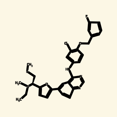 CCN(C)[C@@H](CSC)c1ccc(-c2ccc3ncnc(Nc4ccc(OCc5cccc(F)c5)c(Cl)c4)c3c2)o1